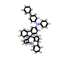 c1ccc(-c2ccc(N(c3ccccc3)c3ccc4c(c3)-c3ccccc3C43c4ccccc4-n4c5ccccc5c5cccc3c54)cc2)cc1